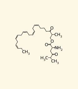 CC/C=C\C/C=C\C/C=C\C/C=C\C/C=C\CCCC(=O)C(C)COC(=O)[C@@H](N)CC(=O)C(C)C